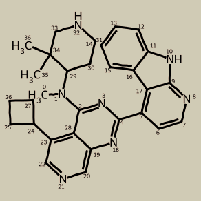 CN(c1nc(-c2ccnc3[nH]c4ccccc4c23)nc2cncc(C3CCC3)c12)C1CCNCC1(C)C